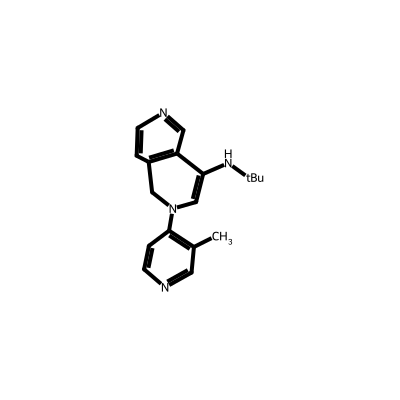 Cc1cnccc1N1C=C(NC(C)(C)C)c2cnccc2C1